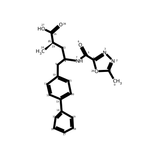 Cc1nnc(C(=O)NC(Cc2ccc(-c3ccccc3)cc2)C[C@@H](C)C(=O)O)o1